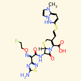 CN1C=CN2NC(S/C=C/C3=C(C(=O)O)N4C(=O)[C@@H](NC(=O)/C(=N\OCCF)c5nsc(N)n5)[C@@H]4SC3)=CC=C12